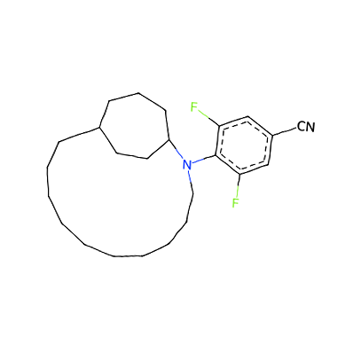 N#Cc1cc(F)c(N2CCCCCCCCCCC3CCCC2CC3)c(F)c1